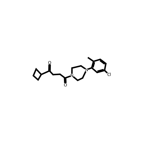 Cc1ccc(Cl)cc1N1CCN(C(=O)CCC(=O)C2CCC2)CC1